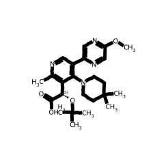 COc1cnc(-c2cnc(C)c([C@H](OC(C)(C)C)C(=O)O)c2N2CCC(C)(C)CC2)cn1